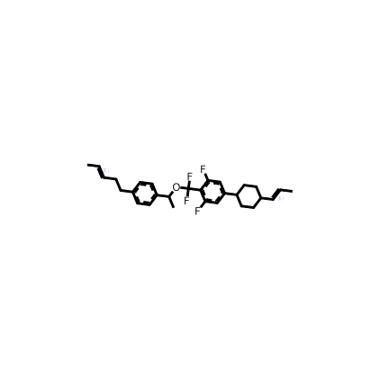 C/C=C/CCc1ccc(C(C)OC(F)(F)c2c(F)cc(C3CCC(/C=C/C)CC3)cc2F)cc1